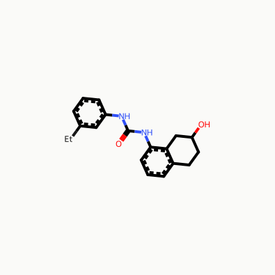 CCc1cccc(NC(=O)Nc2cccc3c2CC(O)CC3)c1